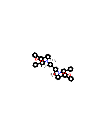 Cc1cc(-c2ccc(N(c3ccc(-c4ccccc4)cc3)c3c(C)cccc3-c3ccc4oc5ccccc5c4c3)c(C)c2)ccc1N(c1ccc(-c2ccccc2)cc1)c1c(C)cccc1-c1ccc2oc3ccccc3c2c1